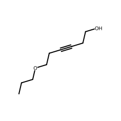 CCCOCCC#CCCO